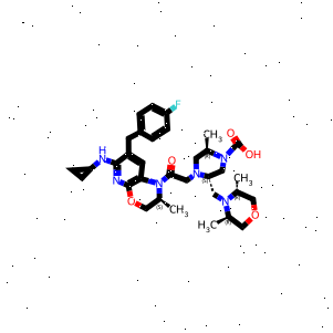 C[C@@H]1CN(CC(=O)N2c3cc(Cc4ccc(F)cc4)c(NC4CC4)nc3OC[C@@H]2C)[C@@H](CN2[C@H](C)COC[C@H]2C)CN1C(=O)O